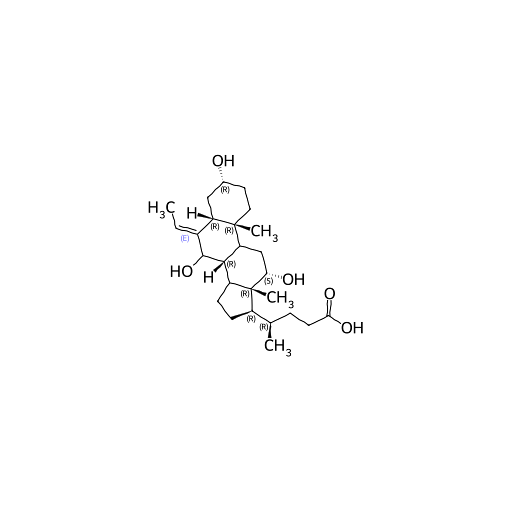 C/C=C1/C(O)[C@H]2C3CC[C@H]([C@H](C)CCC(=O)O)[C@@]3(C)[C@@H](O)CC2[C@@]2(C)CC[C@@H](O)C[C@@H]12